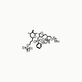 C=C1C(C[C@@H]2OC(C[C@@H](CO[Si](C)(C)C(C)(C)C)O[Si](C)(C)C(C)(C)C)[C@H](OC)[C@H]2CS(=O)(=O)c2ccccc2)OC(CCCO[Si](CC)(CC)CC)C[C@H]1C